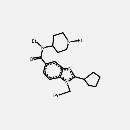 CCN1CCC(N(CC)C(=O)c2ccc3c(c2)nc(C2CCCC2)n3CC(C)C)CC1